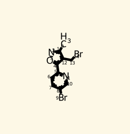 Cc1noc(-c2ccc(Br)cn2)c1CBr